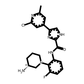 Cc1cc(-c2c[nH]c(C(=O)Nc3cccc(F)c3N3CCC[C@@H](N)C3)n2)cc(Cl)n1